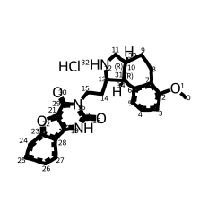 COc1cccc2c1CC[C@H]1CNC(CCn3c(=O)[nH]c4c(oc5ccccc54)c3=O)[C@@H]21.Cl